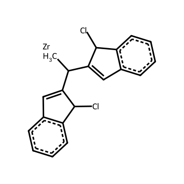 CC(C1=Cc2ccccc2C1Cl)C1=Cc2ccccc2C1Cl.[Zr]